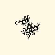 COCC(COC)N(C(=O)C1CCC(C)CC1)c1cc(F)c(Oc2ncc(CCl)cc2C(F)(F)F)cc1C(=O)OC